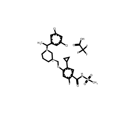 CC(c1cc(Cl)cc(Cl)c1)N1CCC[C@H](COc2cc(F)c(C(=O)NS(C)(=O)=O)cc2C2CC2)C1.O=C(O)C(F)(F)F